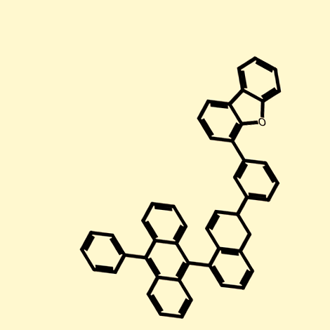 C1=CC(c2cccc(-c3cccc4c3oc3ccccc34)c2)Cc2cccc(-c3c4ccccc4c(-c4ccccc4)c4ccccc34)c21